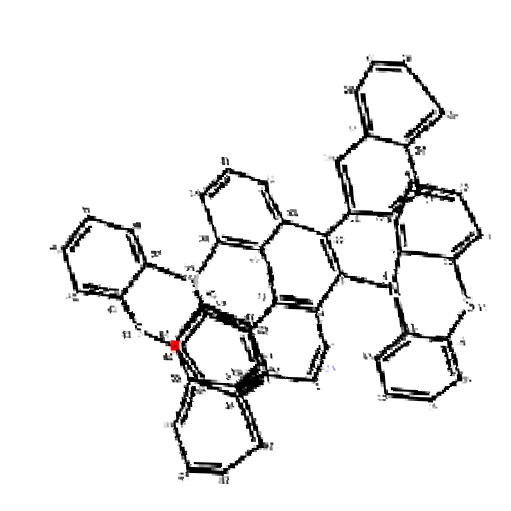 C=C/C=C\c1c(N2c3ccccc3Sc3ccccc32)c(-c2ccc3ccccc3c2)c2cccc(N3c4ccccc4Sc4ccccc43)c2c1-c1ccc2ccccc2c1